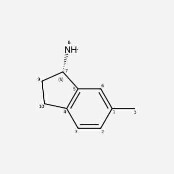 Cc1ccc2c(c1)[C@@H]([NH])CC2